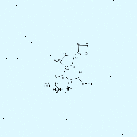 CCCCCCC(C)C(CCC)C(CC(N)C(C)CC)C1CC(C2CCC2)CC1C